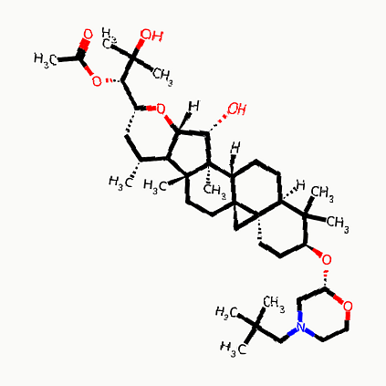 CC(=O)O[C@@H]([C@H]1C[C@@H](C)C2[C@H](O1)[C@H](O)[C@@]1(C)[C@@H]3CC[C@H]4C(C)(C)[C@@H](O[C@H]5CN(CC(C)(C)C)CCO5)CC[C@@]45C[C@@]35CC[C@]21C)C(C)(C)O